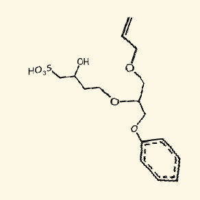 C=CCOCC(COc1ccccc1)OCCC(O)CS(=O)(=O)O